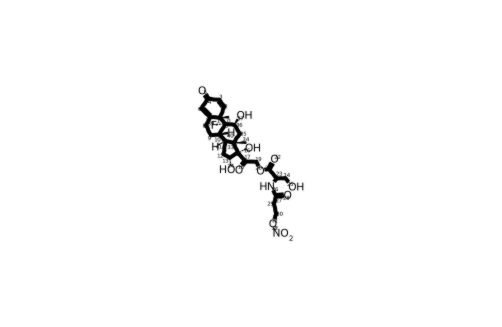 C[C@]12C=CC(=O)C=C1CC[C@H]1[C@@H]3C[C@@H](O)[C@](O)(C(=O)COC(=O)C(CO)NC(=O)CCO[N+](=O)[O-])[C@@]3(C)C[C@H](O)[C@@]12F